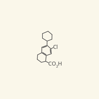 O=C(O)C1CCCc2cc(C3CCCCC3)c(Cl)cc21